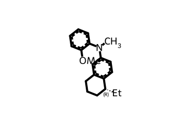 CC[C@@H]1CCCc2cc(N(C)c3ccccc3OC)ccc21